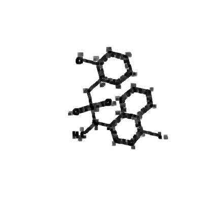 CN(c1ccc(I)c2ccccc12)S(=O)(=O)Cc1ccccc1Cl